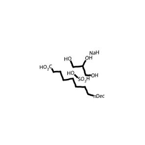 CCCCCCCCCCCCCCCCCC(=O)O.O=S(=O)(O)O.OCC(O)CO.[NaH]